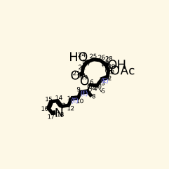 CC(=O)O[C@@H]1/C=C/[C@H](C)[C@@H](/C(C)=C/C=C/Cc2ccccn2)OC(=O)C[C@H](O)CC[C@@]1(C)O